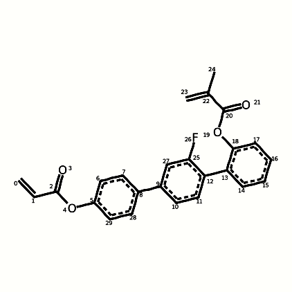 C=CC(=O)Oc1ccc(-c2ccc(-c3ccccc3OC(=O)C(=C)C)c(F)c2)cc1